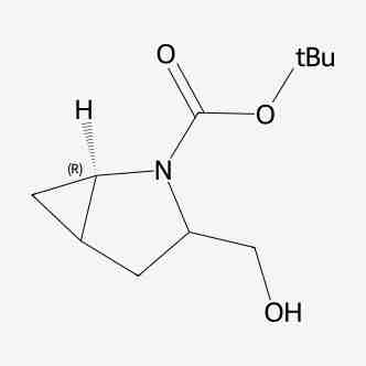 CC(C)(C)OC(=O)N1C(CO)CC2C[C@H]21